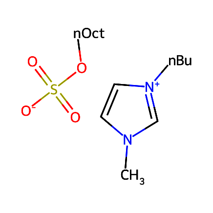 CCCCCCCCOS(=O)(=O)[O-].CCCC[n+]1ccn(C)c1